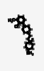 Cc1cccc(N2CCN(CCC3(F)CCC(N)CC3)CC2)c1Cl